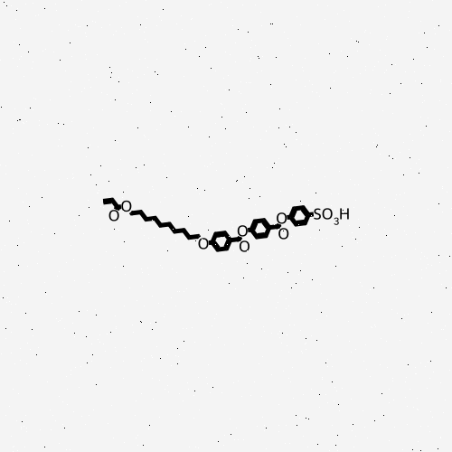 C=CC(=O)OCCCCCCCCCCOc1ccc(C(=O)Oc2ccc(C(=O)Oc3ccc(S(=O)(=O)O)cc3)cc2)cc1